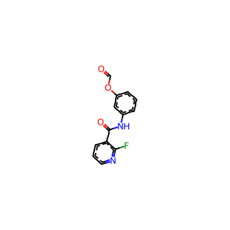 O=COc1cccc(NC(=O)c2cccnc2F)c1